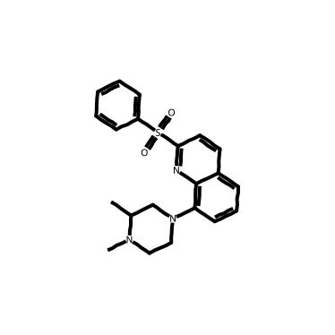 CC1CN(c2cccc3ccc(S(=O)(=O)c4ccccc4)nc23)CCN1C